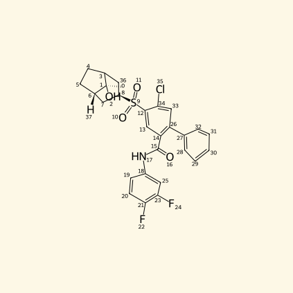 C[C@@]1(O)C2CC[C@H]1C[C@H](S(=O)(=O)c1cc(C(=O)Nc3ccc(F)c(F)c3)c(-c3ccccc3)cc1Cl)C2